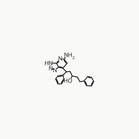 Nc1cc(C(CC(O)CCc2ccccc2)c2ccccc2)c2nn[nH]c2n1